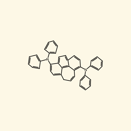 C1=Cc2c(N(c3ccccc3)c3ccccc3)ccc3ccc4c(N(c5ccccc5)c5ccccc5)ccc(c4c23)C1